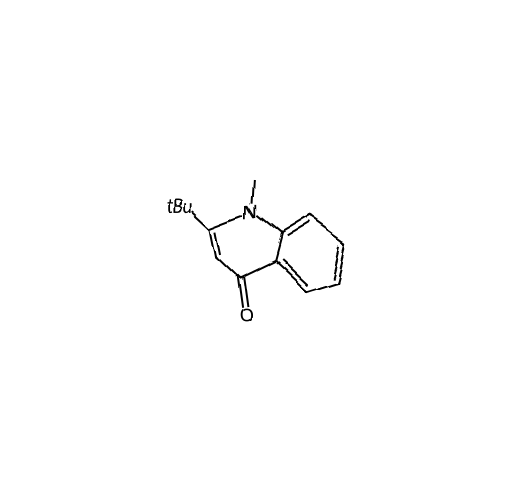 Cn1c(C(C)(C)C)cc(=O)c2ccccc21